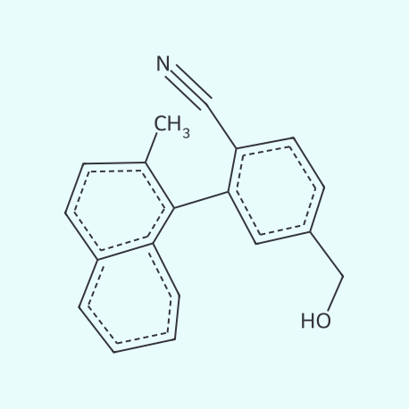 Cc1ccc2ccccc2c1-c1cc(CO)ccc1C#N